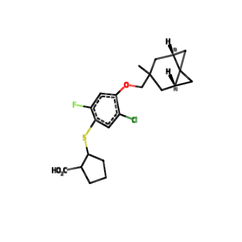 CC1(COc2cc(F)c(SC3CCCC3C(=O)O)cc2Cl)C[C@@H]2CC23C[C@@H]3C1